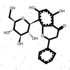 O=C1CC(c2ccccc2)Oc2c1c(O)cc(O)c2[C@@H]1O[C@H](CO)[C@@H](O)[C@H](O)[C@H]1O